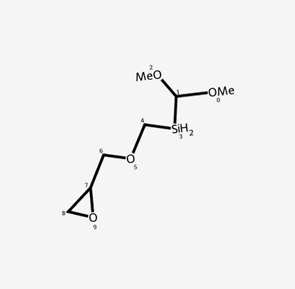 COC(OC)[SiH2]COCC1CO1